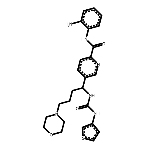 Nc1ccccc1NC(=O)c1ccc(C(CCCN2CCOCC2)NC(=O)Nc2ccsc2)cn1